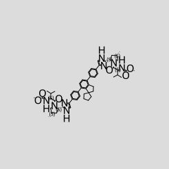 COC(=O)N[C@H](C(=O)N1C[C@@H](C)C[C@H]1c1nc(-c2ccc(-c3ccc(-c4ccc(-c5c[nH]c([C@@H]6C[C@H](C)CN6C(=O)[C@@H](NC(=O)OC)C(C)C)n5)cc4)c4c3CCC43CCCC3)cc2)c[nH]1)C(C)C